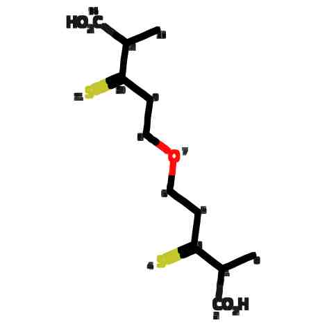 CC(C(=O)O)C(=S)CCOCCC(=S)C(C)C(=O)O